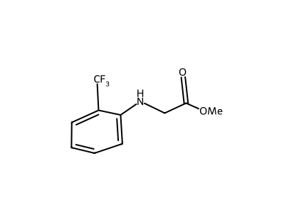 COC(=O)CNc1ccccc1C(F)(F)F